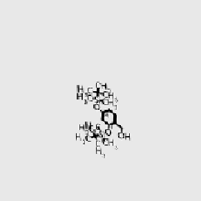 CC(C)(C)[Si](C)(C)O[C@@H]1CC=C(CO)[C@@H](O[Si](C)(C)C(C)(C)C)C1